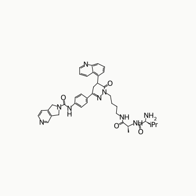 CC(C)[C@H](N)C(=O)N[C@@H](C)C(=O)NCCCCN1N=C(c2ccc(NC(=O)N3Cc4ccncc4C3)cc2)CC(c2cccc3ncccc23)C1=O